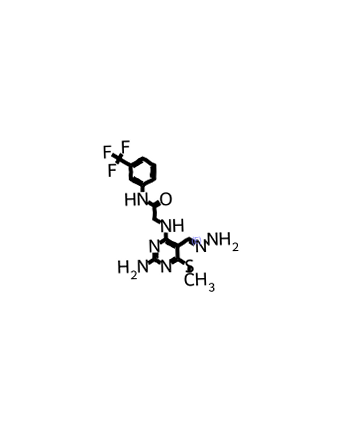 CSc1nc(N)nc(NCC(=O)Nc2cccc(C(F)(F)F)c2)c1/C=N/N